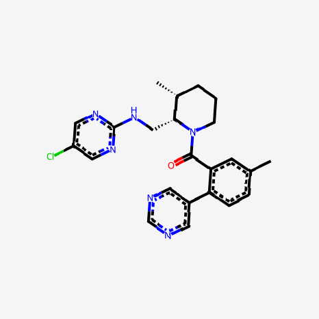 Cc1ccc(-c2cncnc2)c(C(=O)N2CCC[C@@H](C)[C@H]2CNc2ncc(Cl)cn2)c1